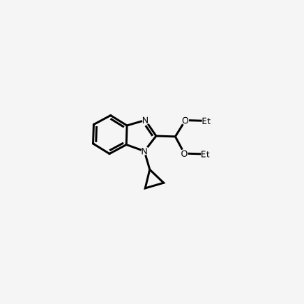 CCOC(OCC)c1nc2ccccc2n1C1CC1